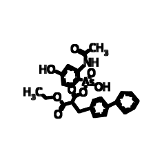 CCOC(=O)C(Cc1ccc(-c2ccccc2)cc1)C(=O)O[As](=O)(O)c1ccc(O)cc1NC(C)=O